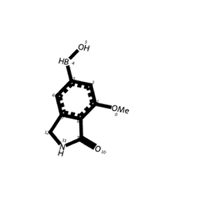 COc1cc(BO)cc2c1C(=O)NC2